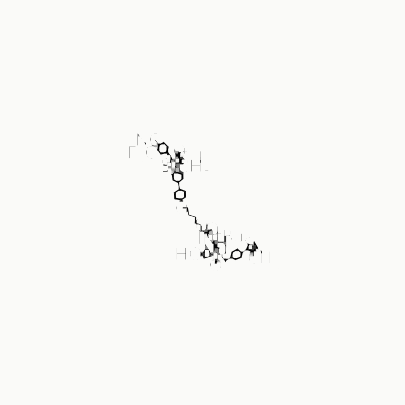 Cc1ncsc1-c1ccc(CNC(=O)[C@@H]2C[C@@H](O)CN2C(=O)[C@@H](NC(=O)COCCCCOc2ccc(-c3ccc(N4C(=S)N(c5ccc(C#N)c(C(F)(F)F)c5)C(=O)C4(C)C)c(F)c3)cc2)C(C)(C)C)cc1